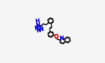 C(=Cc1ccccc1CCc1nnn[nH]1)c1cccc(OCc2ccc3ccccc3n2)c1